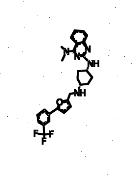 CN(C)c1nc(N[C@H]2CC[C@@H](NCc3ccc(-c4cccc(C(F)(F)F)c4)o3)CC2)nc2ccccc12